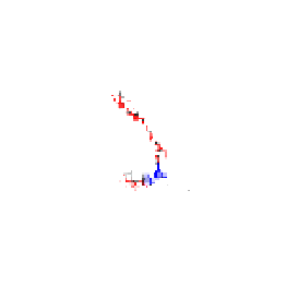 CC(C)(C)OC1CC(OCC23CC(COCCCCOCCC(C)(C)OCC#Cc4cc(N5CCC(OC6CC(OC(C)(C)C)C6)CC5)cc(C(F)(F)F)n4)(C2)C3)C1